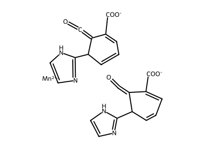 O=C=C1C(C(=O)[O-])=CC=CC1c1ncc[nH]1.O=C=C1C(C(=O)[O-])=CC=CC1c1ncc[nH]1.[Mn+2]